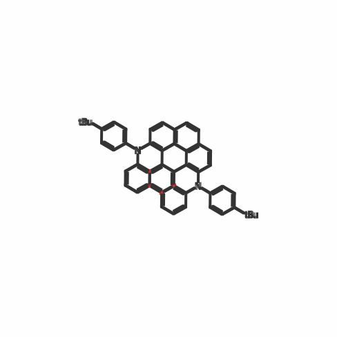 CC(C)(C)c1ccc(N(c2ccccc2)c2ccc3ccc4ccc(N(c5ccccc5)c5ccc(C(C)(C)C)cc5)c5c6ccccc6c2c3c45)cc1